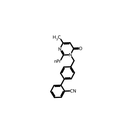 CCCc1nc(C)cc(=O)n1Cc1ccc(-c2ccccc2C#N)cc1